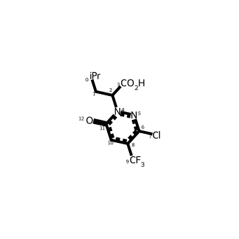 CC(C)CC(C(=O)O)n1nc(Cl)c(C(F)(F)F)cc1=O